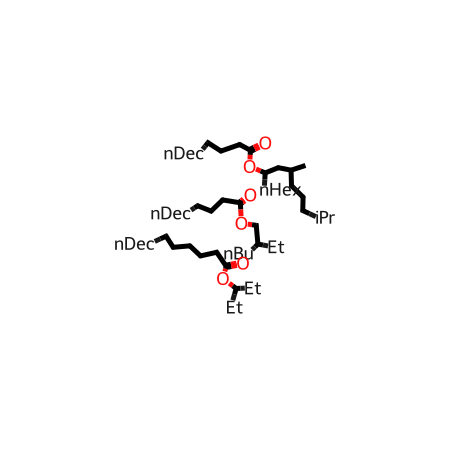 CCCCCCCCCCCCCC(=O)OC(CCCCCC)CC(C)CCCC(C)C.CCCCCCCCCCCCCC(=O)OCC(CC)CCCC.CCCCCCCCCCCCCCCC(=O)OC(CC)CC